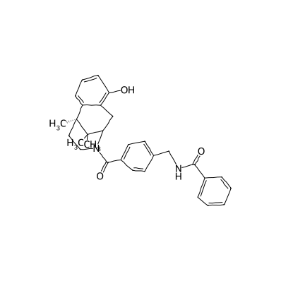 CC1(C)C2Cc3c(O)cccc3[C@]1(C)CCN2C(=O)c1ccc(CNC(=O)c2ccccc2)cc1